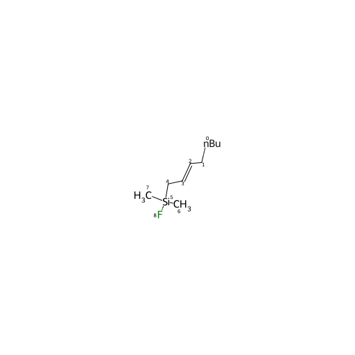 CCCCCC=CC[Si](C)(C)F